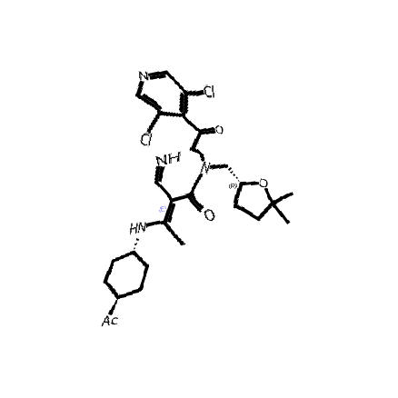 C/C(N[C@H]1CC[C@H](C(C)=O)CC1)=C(/C=N)C(=O)N(CC(=O)c1c(Cl)cncc1Cl)C[C@H]1CCC(C)(C)O1